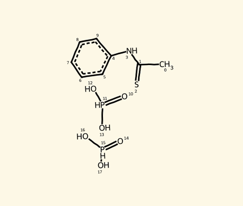 CC(=S)Nc1ccccc1.O=[PH](O)O.O=[PH](O)O